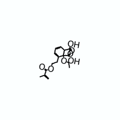 C=C(C)C(=O)OCCC1=CC=CC(C(=O)O)C1(OCC)C(=O)O